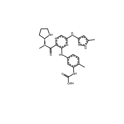 COC(=O)Nc1cc(Nc2nc(Nc3cc(C)[nH]n3)cnc2C(=O)N(C)[C@H]2CCCN2)ccc1C